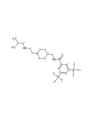 CC(C)SNCCN1CCC(CNC(=O)c2cc(C(F)(F)F)cc(C(F)(F)F)c2)CC1